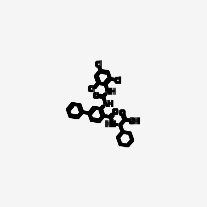 O=C(Nc1cc(-c2ccccc2)ccc1C(=O)N[C@H](C(=O)O)C1CCCCC1)Nc1c(Cl)cc(Cl)cc1Cl